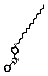 CCCCCCCCCCCCCCCCOc1ccc(-c2nnc(-c3ccccc3)s2)cc1